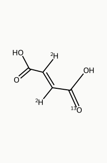 [2H]/C(C(=O)O)=C(/[2H])C(O)=[13O]